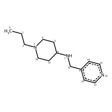 CCCN1CCC(NCc2ccncc2)CC1